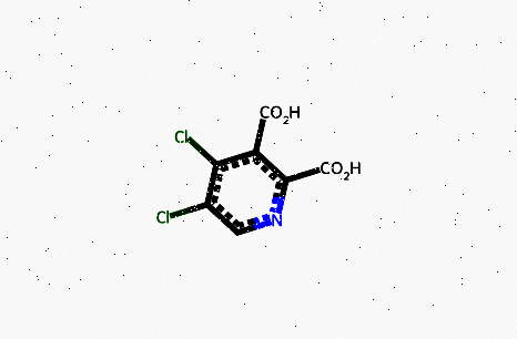 O=C(O)c1ncc(Cl)c(Cl)c1C(=O)O